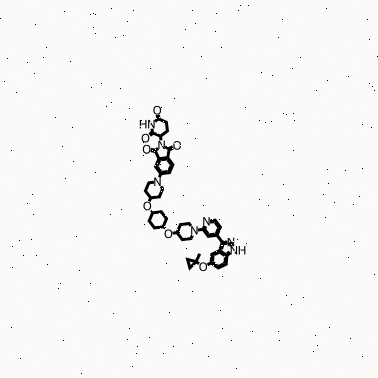 CC1(Oc2ccc3[nH]nc(-c4ccnc(N5CCC(O[C@H]6CC[C@H](OC7CCN(c8ccc9c(c8)C(=O)N(C8CCC(=O)NC8=O)C9=O)CC7)CC6)CC5)c4)c3c2)CC1